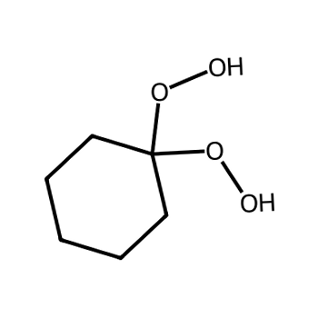 OOC1(OO)CCCCC1